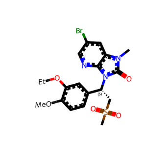 CCOc1cc([C@@H](CS(C)(=O)=O)n2c(=O)n(C)c3cc(Br)cnc32)ccc1OC